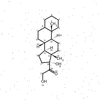 C[C@]12CCCCC1CC[C@@H]1[C@@H]2CC[C@@]2(C)[C@H]1CC[C@]2(O)C(=O)CO